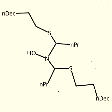 CCCCCCCCCCCCSC(CCC)N(O)C(CCC)SCCCCCCCCCCCC